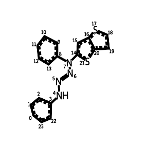 c1ccc(NN=NN(c2ccccc2)c2cc3sccc3s2)cc1